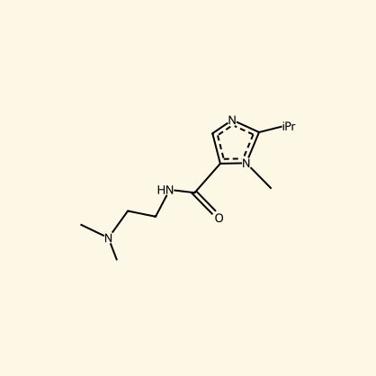 CC(C)c1ncc(C(=O)NCCN(C)C)n1C